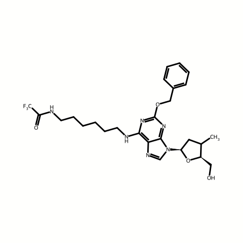 CC1C[C@H](n2cnc3c(NCCCCCCNC(=O)C(F)(F)F)nc(OCc4ccccc4)nc32)O[C@@H]1CO